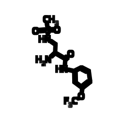 CS(=O)(=O)NCC(N)C(=O)Nc1cccc(OC(F)(F)F)c1